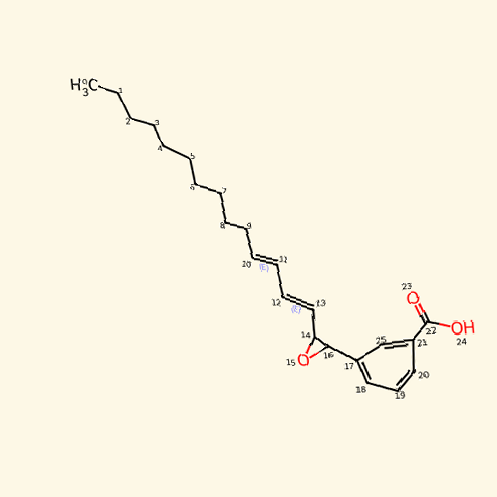 CCCCCCCCCC/C=C/C=C/C1OC1c1cccc(C(=O)O)c1